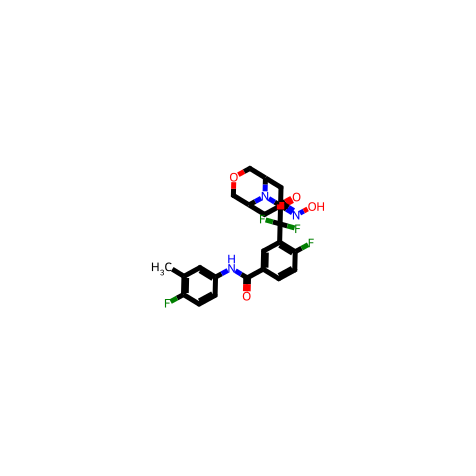 Cc1cc(NC(=O)c2ccc(F)c(C(F)(F)C(=O)N3C4COCC3CC(=NO)C4)c2)ccc1F